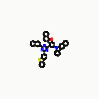 c1ccc2cc(-c3nc(-c4ccc5c(c4)sc4ccccc45)nc(-c4cc(-n5c6ccccc6c6cc7ccccc7cc65)cc5oc6c7ccccc7ccc6c45)n3)ccc2c1